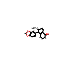 COc1ccc2c(c1-c1ccc3c(c1)OCO3)CCCC2=O